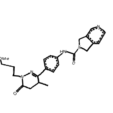 COCCCN1N=C(c2ccc(NC(=O)N3Cc4ccncc4C3)cc2)C(C)CC1=O